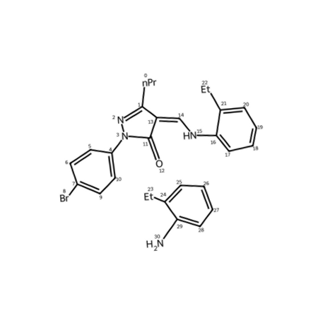 CCCC1=NN(c2ccc(Br)cc2)C(=O)C1=CNc1ccccc1CC.CCc1ccccc1N